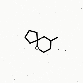 CC1CCOC2(CCCC2)C1